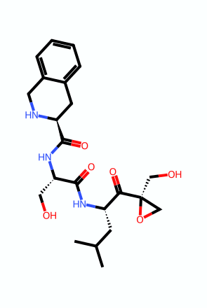 CC(C)C[C@H](NC(=O)[C@H](CO)NC(=O)[C@@H]1Cc2ccccc2CN1)C(=O)[C@@]1(CO)CO1